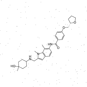 Cc1c(NC(=O)c2ccc(OC[C@@H]3CCCO3)cc2)ccc2cc(CNC3CCC(C)(O)CC3)n(C)c12